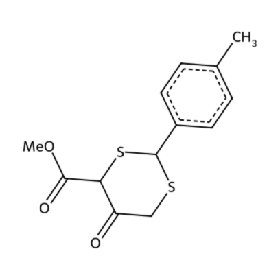 COC(=O)C1SC(c2ccc(C)cc2)SCC1=O